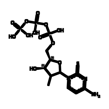 CC1C(n2ccc(N)nc2=S)O[C@H](COP(=O)(O)OP(=O)(O)OP(=O)(O)O)[C@@H]1O